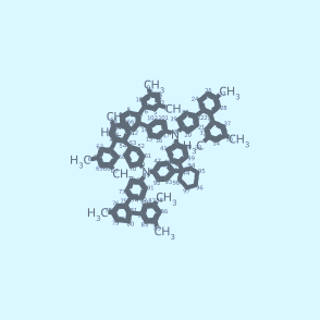 Cc1cc(C)cc(-c2ccc(C)cc2-c2ccc(N(c3ccc(-c4ccc(C)cc4-c4cc(C)cc(C)c4)cc3)c3ccc(C4(c5ccc(N(c6ccc(-c7ccc(C)cc7-c7cc(C)cc(C)c7)cc6)c6ccc(-c7cc(C)ccc7-c7cc(C)cc(C)c7)cc6)cc5)CCCCC4)cc3)cc2)c1